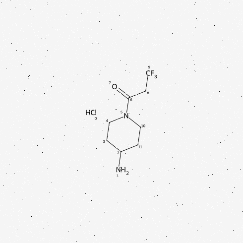 Cl.NC1CCN(C(=O)CC(F)(F)F)CC1